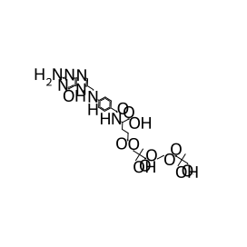 COCC(C)(CO)C(=O)OCCOC(=O)C(C)(CO)COC(=O)CCC(NC(=O)c1ccc(NCc2cnc3nc(N)nc(O)c3n2)cc1)C(=O)O